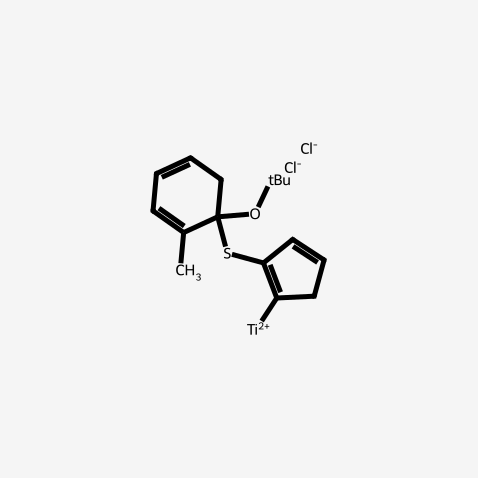 CC1=CC=CCC1(OC(C)(C)C)SC1=[C]([Ti+2])CC=C1.[Cl-].[Cl-]